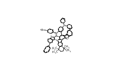 CC(C)(C)c1ccc(N2B3c4sc5ccc(-c6ccccc6)cc5c4-n4c5cc6c(cc5c5c7oc8ccccc8c7c(c3c54)-c3cc(N(c4ccccc4)c4ccccc4)ccc32)C(C)(C)CCC6(C)C)cc1